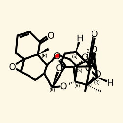 C[C@@]12C[C@H]3OC(=O)[C@@H]1CO[C@]14O[C@]5(C2C1=O)[C@@](O)(CCC1C4CC2OC24CC=CC(=O)[C@]14C)C(=O)O[C@@]35C